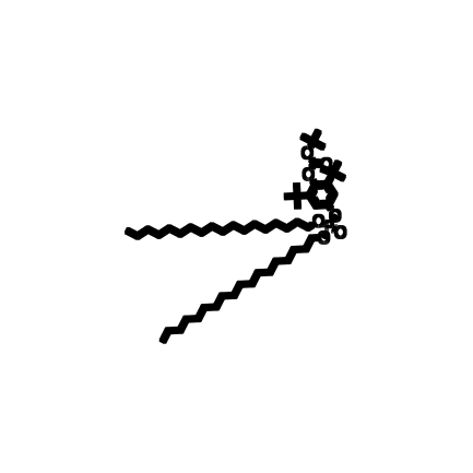 CCCCCCCCCCCCCCCCCCOP(=O)(OCCCCCCCCCCCCCCCCCC)Oc1cc(C(C)(C)C)c(OC(=O)OC(C)(C)C)c(C(C)(C)C)c1